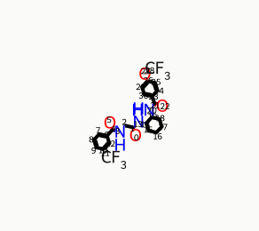 O=C(CNC(=O)c1cccc(C(F)(F)F)c1)N[C@H]1CCCC[C@H]1NC(=O)c1ccc(OC(F)(F)F)cc1